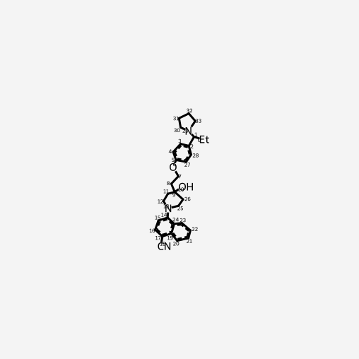 CCC(c1ccc(OCCC2(O)CCN(c3ccc(C#N)c4ccccc34)CC2)cc1)N1CCCC1